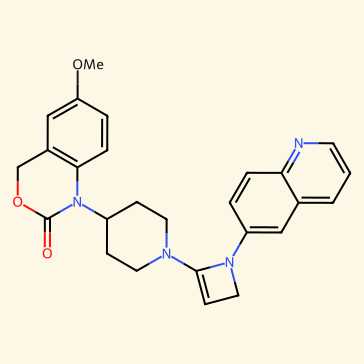 COc1ccc2c(c1)COC(=O)N2C1CCN(C2=CCN2c2ccc3ncccc3c2)CC1